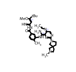 C=C/N=C1/C=NC(N2CCC3(CCN(C)C3)C2)=N/C1=C(/N)Nc1cc(C(=O)NC(=N)/C=C(\OC)C(C)(C)C)ccc1C